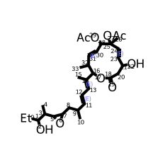 CCC(O)C(C)C1OC1CC(C)/C=C/C=C(\C)C1OC(=O)CC(O)/C=C/C(C)(OC(C)=O)C(OC(C)=O)/C=C/C1C